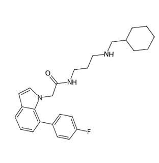 O=C(Cn1ccc2cccc(-c3ccc(F)cc3)c21)NCCCNCC1CCCCC1